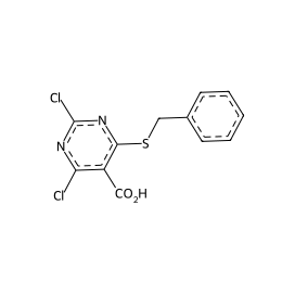 O=C(O)c1c(Cl)nc(Cl)nc1SCc1ccccc1